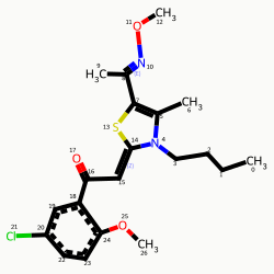 CCCCN1C(C)=C(/C(C)=N/OC)S/C1=C\C(=O)c1cc(Cl)ccc1OC